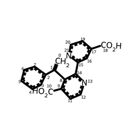 C=C(c1ccccc1)c1c(C(=O)O)ccnc1-c1cc(C(=O)O)ccn1